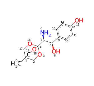 CC12COC([C@@H](N)[C@H](O)c3ccc(O)cc3)(OC1)OC2